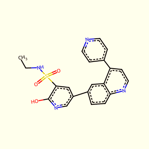 CCNS(=O)(=O)c1cc(-c2ccc3nccc(-c4ccncc4)c3c2)cnc1O